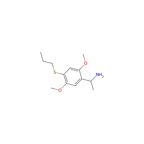 CCCSc1cc(OC)c(C(C)N)cc1OC